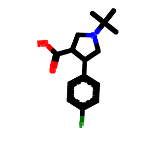 CC(C)(C)N1CC(C(=O)O)C(c2ccc(F)cc2)C1